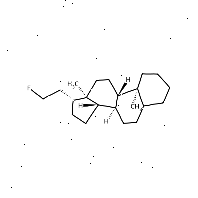 C[C@]12CC[C@H]3[C@@H](CCC4CCCC[C@@]43C)[C@@H]1CC[C@@H]2CCF